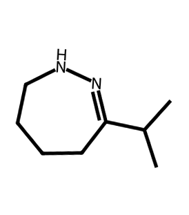 CC(C)C1=NNCCCC1